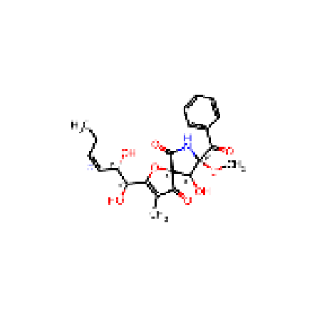 CC/C=C\[C@H](O)[C@H](O)C1=C(C)C(=O)[C@]2(O1)C(=O)N[C@](OC)(C(=O)c1ccccc1)[C@H]2O